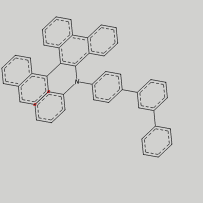 c1ccc(-c2cccc(-c3ccc(N(c4ccccc4)c4c(-c5cccc6ccccc56)c5ccccc5c5ccccc45)cc3)c2)cc1